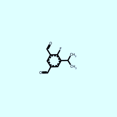 CC(C)c1cc(C=O)cc(C=O)c1F